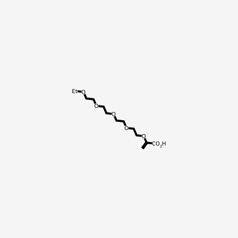 C=C(OCCOCCOCCOCCOCC)C(=O)O